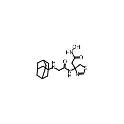 O=C(CC1(NC(=O)CNC23CC4CC(CC(C4)C2)C3)CSC=N1)NO